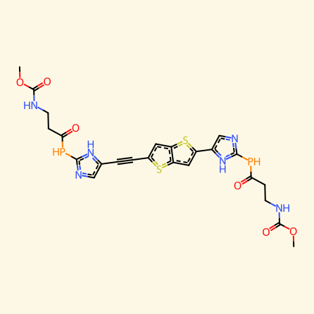 COC(=O)NCCC(=O)Pc1ncc(C#Cc2cc3sc(-c4cnc(PC(=O)CCNC(=O)OC)[nH]4)cc3s2)[nH]1